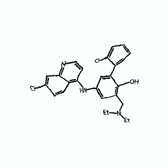 CCN(CC)Cc1cc(Nc2ccnc3cc(Cl)ccc23)cc(-c2ccccc2Cl)c1O